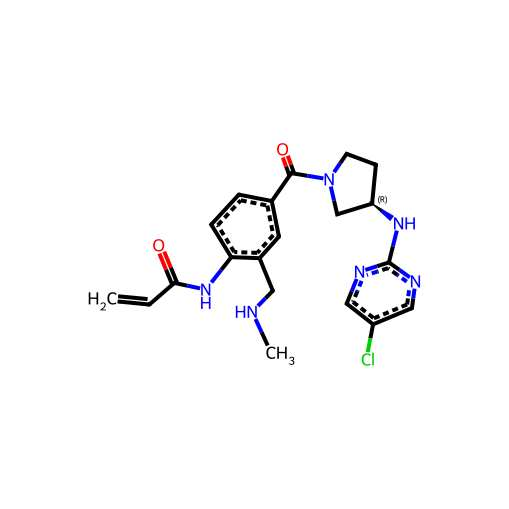 C=CC(=O)Nc1ccc(C(=O)N2CC[C@@H](Nc3ncc(Cl)cn3)C2)cc1CNC